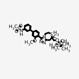 COc1cc(-c2cccc(NS(C)(=O)=O)c2)ccc1-c1nnc2n1CCSC(C)(CO[Si](C)(C)C(C)(C)C)C2